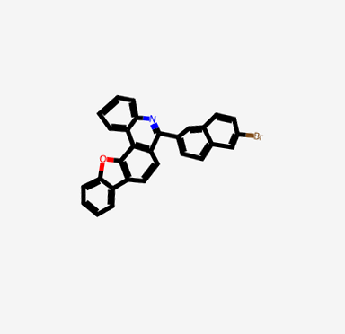 Brc1ccc2cc(-c3nc4ccccc4c4c3ccc3c5ccccc5oc34)ccc2c1